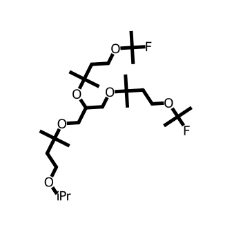 CC(C)OCCC(C)(C)OCC(COC(C)(C)CCOC(C)(C)F)OC(C)(C)CCOC(C)(C)F